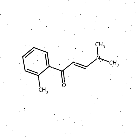 Cc1ccccc1C(=O)C=CN(C)C